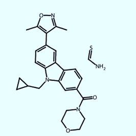 Cc1noc(C)c1-c1ccc2c(c1)c1ccc(C(=O)N3CCOCC3)cc1n2CC1CC1.NC=S